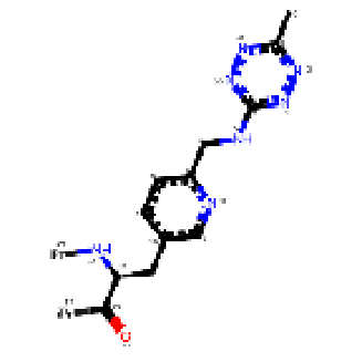 Cc1nnc(NCc2ccc(C[C@H](NC(C)C)C(=O)C(C)C)cn2)nn1